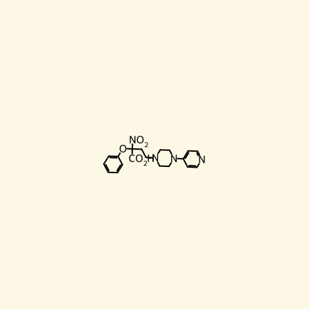 O=C(O)C(CCN1CCN(c2ccncc2)CC1)(Oc1ccccc1)[N+](=O)[O-]